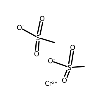 CS(=O)(=O)[O-].CS(=O)(=O)[O-].[Cr+2]